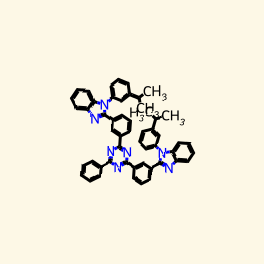 CC(C)c1cccc(-n2c(-c3cccc(-c4nc(-c5ccccc5)nc(-c5cccc(-c6nc7ccccc7n6-c6cccc(C(C)C)c6)c5)n4)c3)nc3ccccc32)c1